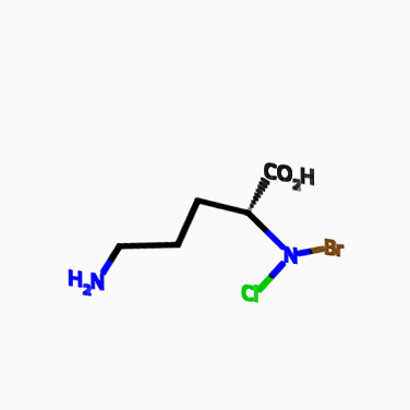 NCCC[C@H](C(=O)O)N(Cl)Br